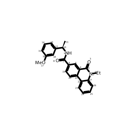 CCn1c(=O)c2cc(C(=O)N[C@H](C)c3cccc(OC)c3)ccc2c2ccccc21